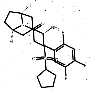 N[C@H](Cc1cc(F)c(F)cc1F)C1C[C@H]2CC[C@@H](C1)N2C(=O)CCS(=O)(=O)C1CCCC1